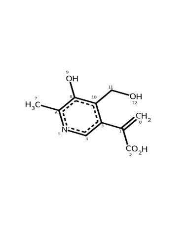 C=C(C(=O)O)c1cnc(C)c(O)c1CO